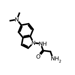 CN(C)c1ccc2c(ccn2NC(=O)CN)c1